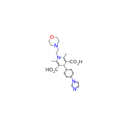 CC1=C(C(=O)O)C(c2ccc(-n3ccnc3)cc2)C(C(=O)O)=C(C)N1CCN1CCOCC1